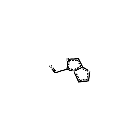 O=Cc1ncc2sccn12